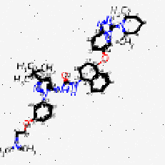 C[C@@H]1CCC[C@H](C)N1c1nnc2ccc(O[C@@H]3CC[C@H](NC(=O)Nc4cc(C(C)(C)C)nn4-c4cccc(OCCN(C)C)c4)c4ccccc43)cn12